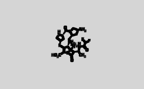 CC(NC(=O)C(F)F)[C@H]1C(=O)N2C(C(=O)O)=C(S[C@@H]3CN[C@H](C(=O)N4C[C@@H](N)C[C@H]4CN)C3)[C@H](C)[C@H]12